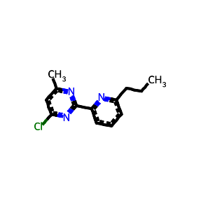 CCCc1cccc(-c2nc(C)cc(Cl)n2)n1